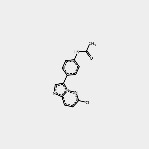 CC(=O)Nc1ccc(-c2cnc3ccc(Cl)nn23)cc1